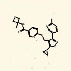 Cc1ccc(-c2noc(C3CC3)c2COc2ccc(C(=O)NC3(C)COC3)cn2)cn1